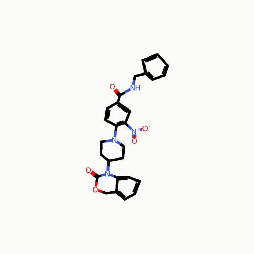 O=C(NCc1ccccc1)c1ccc(N2CCC(N3C(=O)OCc4ccccc43)CC2)c([N+](=O)[O-])c1